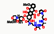 COc1cccc2c1C(=O)c1c(O)c3c(c(O)c1C2=O)C[C@@](O)(C(=O)N(C)CCNC(=O)[C@H](C)NC(=O)[C@H](C)NC(=O)CCN1C(=O)C=CC1=O)C[C@@H]3O[C@H]1C[C@H]2[C@H](O[C@@H]3[C@@H](OC)OCCN32)[C@H](C)O1